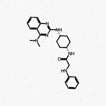 CN(C)c1nc(N[C@H]2CC[C@@H](NC(=O)CNc3ccccc3)CC2)nc2ccccc12